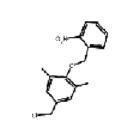 Cc1cc(CCl)cc(C)c1OCc1ccccc1[N+](=O)[O-]